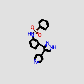 O=S(=O)(Nc1cccc(-c2n[nH]cc2-c2ccncc2)c1)c1ccccc1